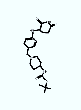 CC(C)(C)OC(=O)NC1CCN(CC2C=CC(NC3CCC(=O)NC3=O)=CC2)CC1